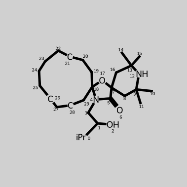 CC(C)C(O)CN1C(=O)C2(CC(C)(C)NC(C)(C)C2)OC12CCCCCCCCCCC2